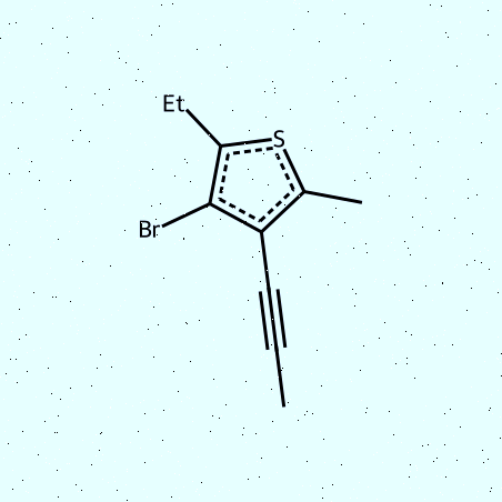 CC#Cc1c(C)sc(CC)c1Br